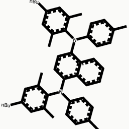 CCCCc1cc(C)c(N(c2ccc(C)cc2)c2ccc(N(c3ccc(C)cc3)c3c(C)cc(CCCC)cc3C)c3ccccc23)c(C)c1